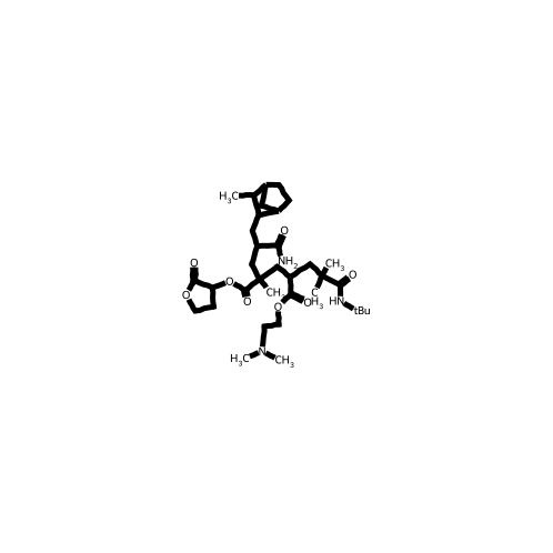 CC1C2CCC(C2)C1CC(CC(C)(CC(CC(C)(C)C(=O)NC(C)(C)C)C(=O)OCCN(C)C)C(=O)OC1CCOC1=O)C(N)=O